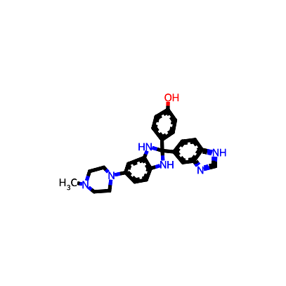 CN1CCN(c2ccc3c(c2)NC(c2ccc(O)cc2)(c2ccc4[nH]cnc4c2)N3)CC1